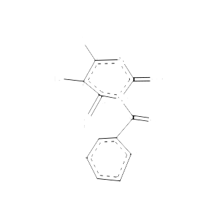 Cc1[nH]c(=O)n(C(=O)c2ccccc2)c(=O)c1Br